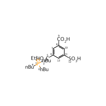 CCCC[PH](CC)(CCCC)CCCC.O=C(O)c1cc(C(=O)O)cc(S(=O)(=O)O)c1